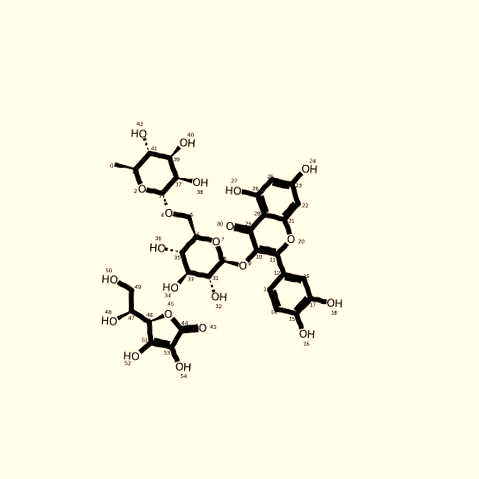 C[C@@H]1O[C@@H](OC[C@H]2O[C@@H](Oc3c(-c4ccc(O)c(O)c4)oc4cc(O)cc(O)c4c3=O)[C@H](O)[C@@H](O)[C@@H]2O)[C@H](O)[C@H](O)[C@H]1O.O=C1O[C@H]([C@@H](O)CO)C(O)=C1O